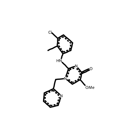 COc1cn(Cc2ccccn2)c(Nc2cccc(Cl)c2C)nc1=O